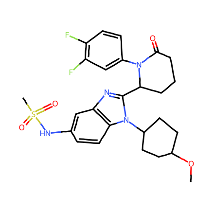 COC1CCC(n2c(C3CCCC(=O)N3c3ccc(F)c(F)c3)nc3cc(NS(C)(=O)=O)ccc32)CC1